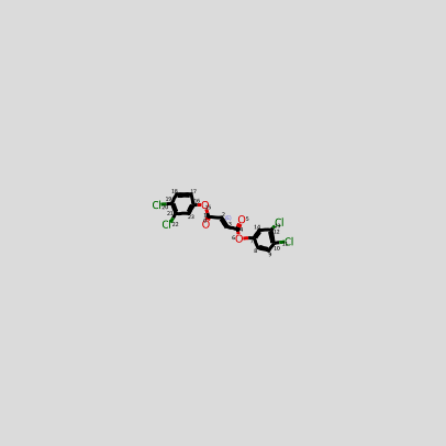 O=C(/C=C/C(=O)Oc1ccc(Cl)c(Cl)c1)Oc1ccc(Cl)c(Cl)c1